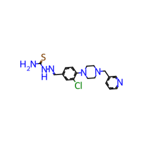 NC(=S)NN=Cc1ccc(N2CCN(Cc3cccnc3)CC2)c(Cl)c1